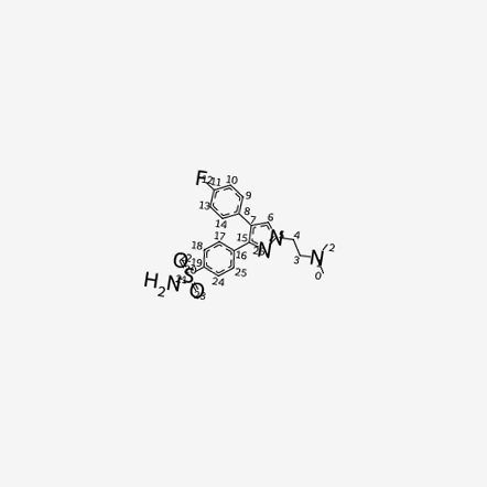 CN(C)CCn1cc(-c2ccc(F)cc2)c(-c2ccc(S(N)(=O)=O)cc2)n1